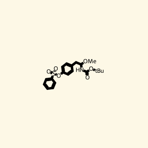 COC(Cc1ccc(OS(=O)(=O)c2ccccc2)cc1)NC(=O)OC(C)(C)C